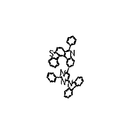 c1ccc(-c2nc(-c3ccc4nc(-c5ccccc5)c5ccc6sc7ccccc7c6c5c4c3)cc(-n3c4ccccc4c4ccccc43)n2)cc1